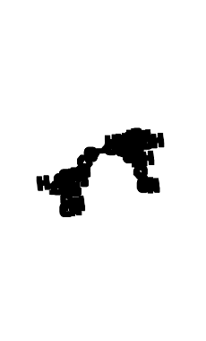 CC(C)(C)[C@H](NC(=O)COCCCCOc1ccc(-c2ccc(N3C(=S)N(c4ccc(C#N)c(Cl)c4)C(=O)C3(C)C)cc2F)cc1)C(=O)N1C[C@H](O)C[C@H]1C(=O)NCc1ccc(-c2cnco2)cc1